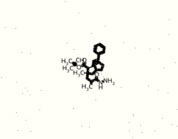 CC(C[C@@](C)(CC1CCCC1)[C@H](C/C=C/c1ccccc1)C(=O)OC(C)(C)C)C(=O)NN